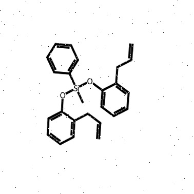 C=CCc1ccccc1O[Si](C)(Oc1ccccc1CC=C)c1ccccc1